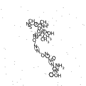 Cc1ncsc1-c1ccc([C@H](C)NC(=O)[C@@H]2C[C@@H](O)CN2C(=O)[C@@H](c2cc(OCCN3CCN(CCOc4cc(N5CCN(c6cc(-c7ccccc7O)nnc6N)CC56COC6)ccn4)CC3)no2)C(C)C)cc1